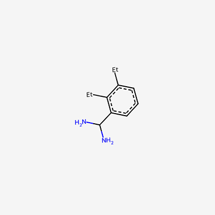 CCc1cccc(C(N)N)c1CC